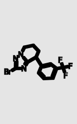 FC(F)(F)c1cccc(C2CCCn3nc(Br)nc32)c1